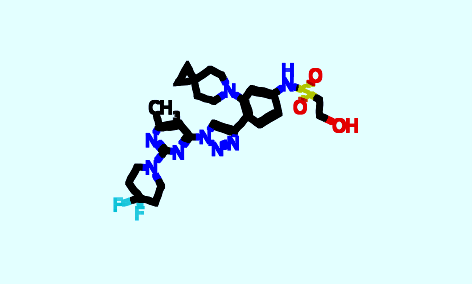 Cc1cc(-n2cc(-c3ccc(NS(=O)(=O)CCO)cc3N3CCC4(CC3)CC4)nn2)nc(N2CCC(F)(F)CC2)n1